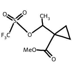 COC(=O)C1(C(C)OS(=O)(=O)C(F)(F)F)CC1